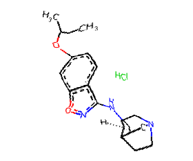 CC(C)Oc1ccc2c(N[C@H]3CN4CCC3CC4)noc2c1.Cl